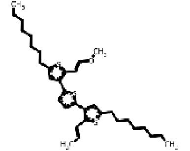 C/C=C/c1sc(CCCCCCCC)cc1-c1ccc(-c2cc(CCCCCCCC)sc2/C=C/OC)s1